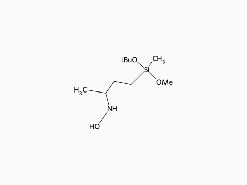 CO[Si](C)(CCC(C)NO)OCC(C)C